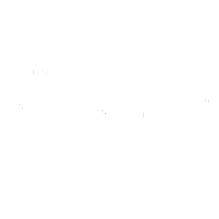 CC(C)(C)OC(=O)N1CCN(c2cc(N)c(N)cc2F)CC1